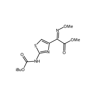 CON=C(C(=O)OC)c1csc(NC(=O)OCC(C)C)n1